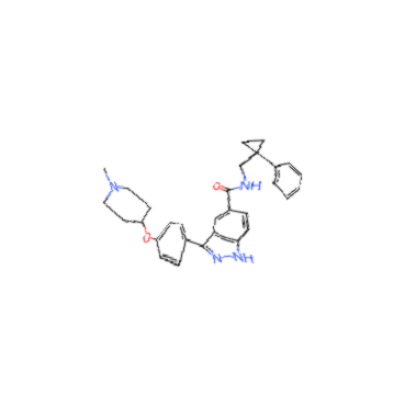 CN1CCC(Oc2ccc(-c3n[nH]c4ccc(C(=O)NCC5(c6ccccc6)CC5)cc34)cc2)CC1